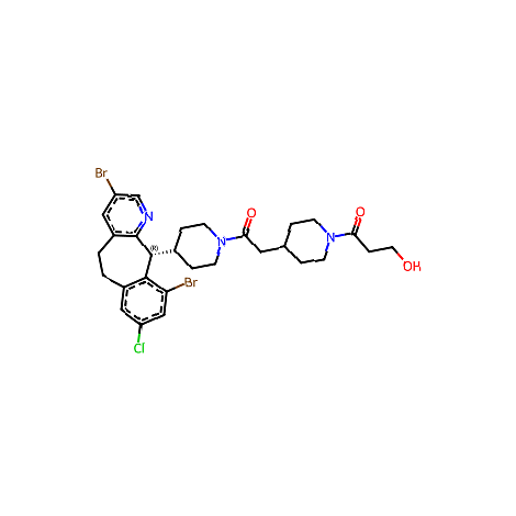 O=C(CCO)N1CCC(CC(=O)N2CCC([C@H]3c4ncc(Br)cc4CCc4cc(Cl)cc(Br)c43)CC2)CC1